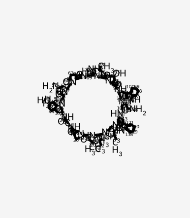 CCCC[C@H]1C(=O)N(C)[C@@H](CCCC)C(=O)N[C@@H](CC(C)C)C(=O)N2CCC[C@@H]2C(=O)NCC(=O)N[C@@H](Cc2ccc(O)cc2)C(=O)N(C)[C@@H](C)C(=O)N[C@@H](CC(N)=O)C(=O)N2CCCC2C(=O)N[C@@H](CN)C(=O)N[C@@H](CC(C)C)C(=O)N2C[C@H](O)C[C@H]2C(=O)N[C@@H](Cc2c[nH]c3ccccc23)C(=O)N[C@@H](CCN)C(=O)N[C@@H](Cc2c[nH]c3ccccc23)C(=O)N1C